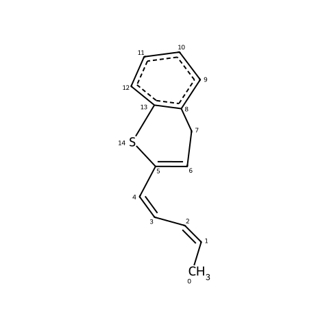 C/C=C\C=C/C1=CCc2ccccc2S1